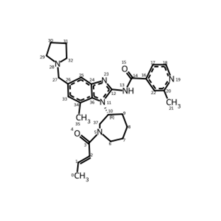 CC=CC(=O)N1CCCC[C@@H](n2c(NC(=O)c3ccnc(C)c3)nc3cc(CN4CCCC4)cc(C)c32)C1